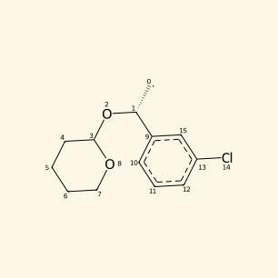 [CH2][C@@H](OC1CCCCO1)c1cccc(Cl)c1